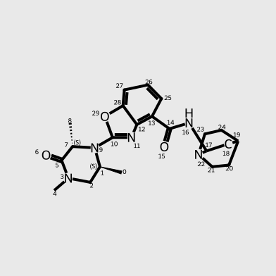 C[C@H]1CN(C)C(=O)[C@H](C)N1c1nc2c(C(=O)NC3CC4CCN3CC4)cccc2o1